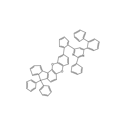 c1ccc(-c2nc(-c3ccccc3-c3ccccc3)cc(-c3ccccc3-c3ccc4c(c3)Oc3c(ccc5c3-c3ccccc3C5(c3ccccc3)c3ccccc3)O4)n2)cc1